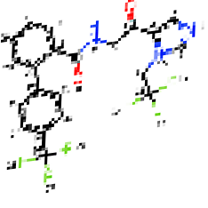 O=C(NCC(=O)c1cncn1CC(F)(F)F)c1ccccc1-c1ccc(C(F)(F)F)cc1